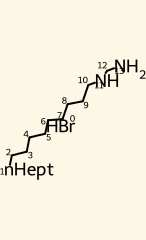 Br.CCCCCCCCCCCCCCCCNCN